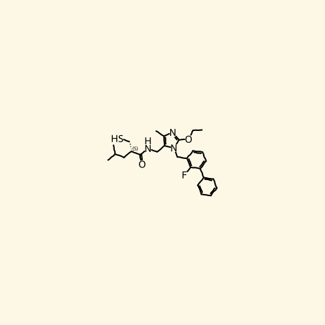 CCOc1nc(C)c(CNC(=O)[C@@H](CS)CC(C)C)n1Cc1cccc(-c2ccccc2)c1F